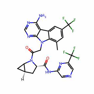 Cc1cc(C(F)(F)F)cc2c3c(N)ncnc3n(CC(=O)N3C4C[C@@H]4C[C@H]3C(=O)Nc3cncc(C(F)(F)F)n3)c12